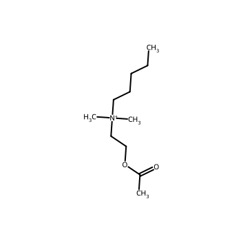 CCCCC[N+](C)(C)CCOC(C)=O